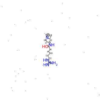 CC(C)(C)N1CCC(NC(O)CCCCCNC(=N)N)CC1